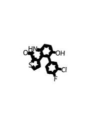 O=c1[nH]c2ccc(O)c(-c3ccc(F)c(Cl)c3)c2c2ccsc12